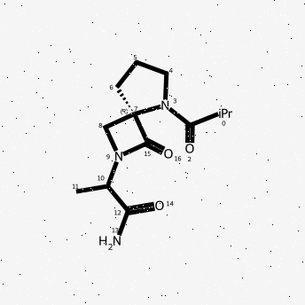 CC(C)C(=O)N1CCC[C@]12CN(C(C)C(N)=O)C2=O